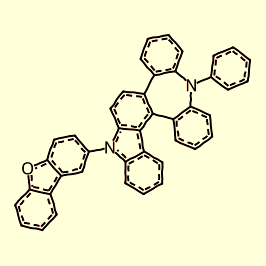 c1ccc(N2c3ccccc3-c3ccc4c(c3-c3ccccc32)c2ccccc2n4-c2ccc3oc4ccccc4c3c2)cc1